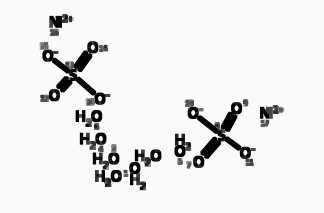 O.O.O.O.O.O.O.O=S(=O)([O-])[O-].O=S(=O)([O-])[O-].[Ni+2].[Ni+2]